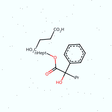 CCCCCCCOC(=O)C(O)(c1ccccc1)C(C)C.O=C(O)CCC(=O)O